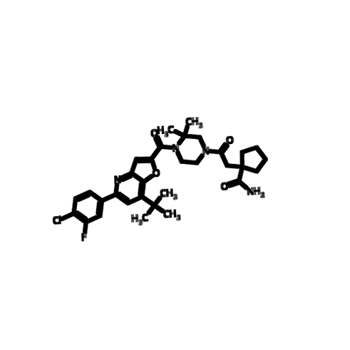 CC(C)(C)c1cc(-c2ccc(Cl)c(F)c2)nc2cc(C(=O)N3CCN(C(=O)CC4(C(N)=O)CCCC4)CC3(C)C)oc12